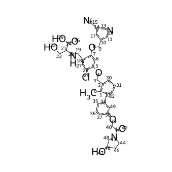 Cc1c(COc2cc(OCc3cncc(C#N)c3)c(CNC(CO)C(=O)O)cc2Cl)cccc1-c1cccc(OCC(=O)N2CC[C@@H](O)C2)c1